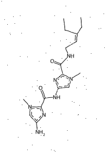 CCC(=CCNC(=O)c1nc(NC(=O)c2nc(N)cn2C)cn1C)CC